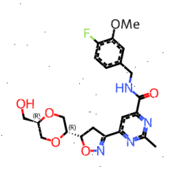 COc1cc(CNC(=O)c2cc(C3=NOC([C@H]4CO[C@H](CO)CO4)C3)nc(C)n2)ccc1F